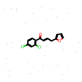 O=C(C=CCc1ccco1)c1ccc(Cl)cc1Cl